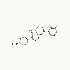 Cc1cccc(N2CCCC3(CCN([C@H]4CC[C@H](O)CC4)C3=O)C2)n1